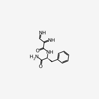 N=CC(=N)C(=O)N[C@@H](Cc1ccccc1)C(N)=O